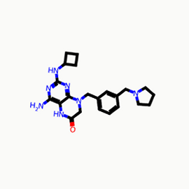 Nc1nc(NC2CCC2)nc2c1NC(=O)CN2Cc1cccc(CN2CCCC2)c1